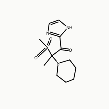 CC(C(=O)c1ncc[nH]1)(N1CCCCC1)S(C)(=O)=O